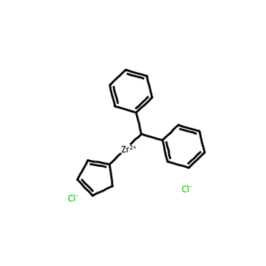 C1=CC[C]([Zr+2][CH](c2ccccc2)c2ccccc2)=C1.[Cl-].[Cl-]